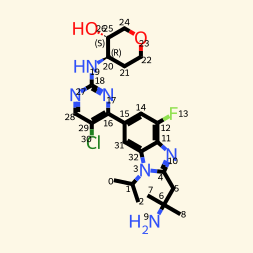 CC(C)n1c(CC(C)(C)N)nc2c(F)cc(-c3nc(N[C@@H]4CCOC[C@H]4O)ncc3Cl)cc21